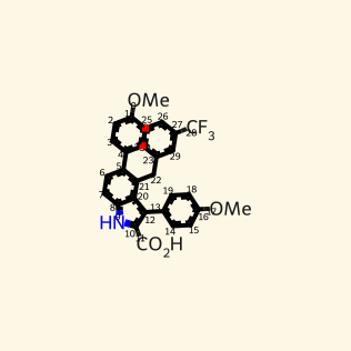 COc1ccc(-c2ccc3[nH]c(C(=O)O)c(-c4ccc(OC)cc4)c3c2Cc2cccc(C(F)(F)F)c2)cc1